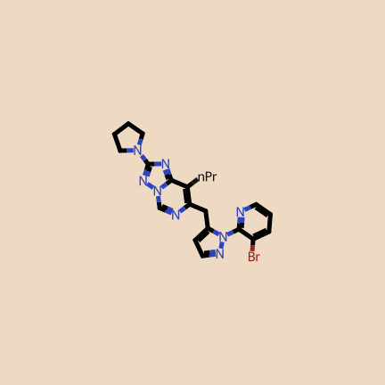 CCCc1c(Cc2ccnn2-c2ncccc2Br)ncn2nc(N3CCCC3)nc12